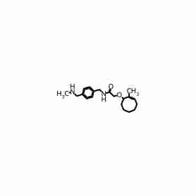 CNCc1ccc(CNC(=O)COC2CCCCC/C=C\2C)cc1